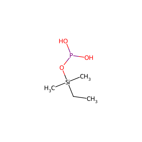 CC[Si](C)(C)OP(O)O